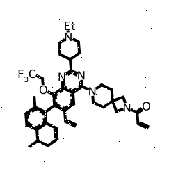 C=CC(=O)N1CC2(CCN(c3nc(C4CCN(CC)CC4)nc4c(OCC(F)(F)F)c(-c5c(C)ccc6c5C=CCC6C)c(C=C)cc34)CC2)C1